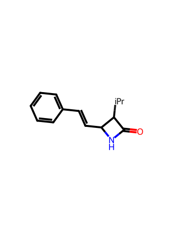 CC(C)C1C(=O)NC1/C=C/c1ccccc1